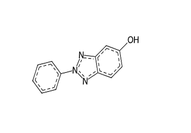 Oc1ccc2nn(-c3ccccc3)nc2c1